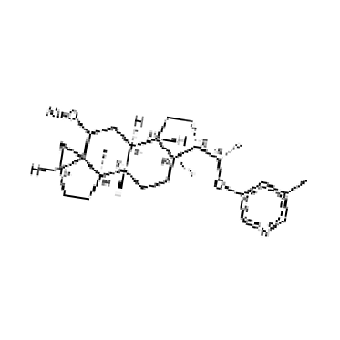 COC1C[C@H]2[C@@H]3CC[C@H]([C@H](C)Oc4cncc(C)c4)[C@@]3(C)CC[C@@H]2[C@@]2(C)CC[C@@H]3CC132